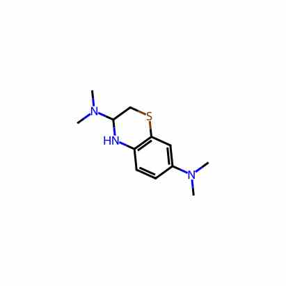 CN(C)c1ccc2c(c1)SCC(N(C)C)N2